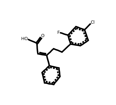 O=C(O)/C=C(\CCc1ccc(Cl)cc1F)c1ccccc1